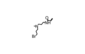 C=CC(=O)NCCCN(C)CCCBr